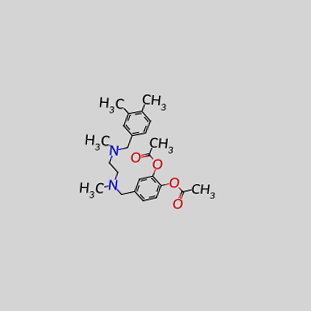 CC(=O)Oc1ccc(CN(C)CCN(C)Cc2ccc(C)c(C)c2)cc1OC(C)=O